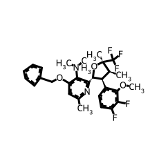 COc1c([C@H]2[C@H](c3nc(C)cc(OCc4ccccc4)c3N(C)C)O[C@@](C)(C(F)(F)F)[C@H]2C)ccc(F)c1F